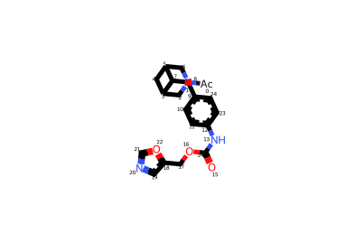 CC(=O)N1CC2CC(C1)C2Cc1ccc(NC(=O)OCc2cnco2)cc1